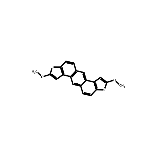 COc1cc2c(ccc3cc4c(ccc5sc(OC)cc54)cc32)s1